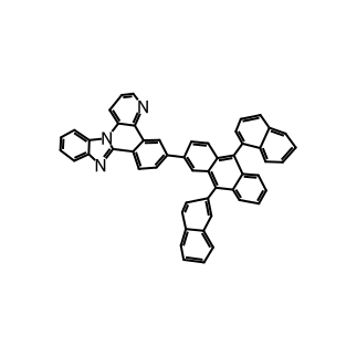 c1ccc2cc(-c3c4ccccc4c(-c4cccc5ccccc45)c4ccc(-c5ccc6c(c5)c5ncccc5n5c7ccccc7nc65)cc34)ccc2c1